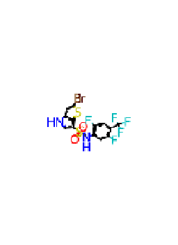 O=S(=O)(Nc1cc(F)c(C(F)(F)F)cc1F)c1c[nH]c2cc(Br)sc12